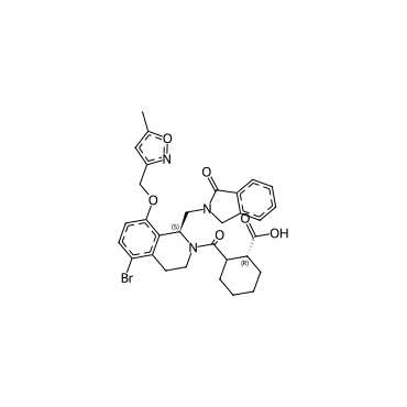 Cc1cc(COc2ccc(Br)c3c2[C@@H](CN2Cc4ccccc4C2=O)N(C(=O)C2CCCC[C@H]2C(=O)O)CC3)no1